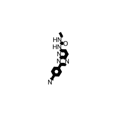 CCNC(=O)Nc1ccc2ncc(-c3ccc(C#N)cc3)nc2n1